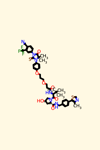 Cc1ncsc1-c1ccc(CNC(=O)[C@@H]2C[C@@H](O)CN2C(=O)C(NC(=O)CCOCCCOc2ccc(N3C(=S)N(c4ccc(C#N)c(C(F)(F)F)c4)C(=O)C3(C)C)cc2)C(C)(C)C)cc1